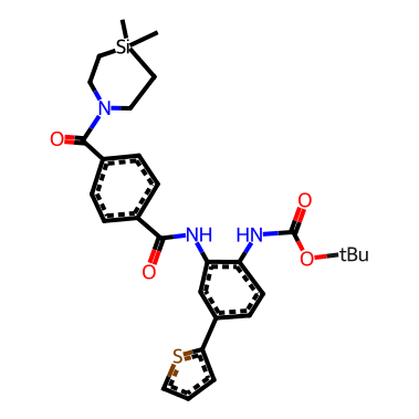 CC(C)(C)OC(=O)Nc1ccc(-c2cccs2)cc1NC(=O)c1ccc(C(=O)N2CC[Si](C)(C)CC2)cc1